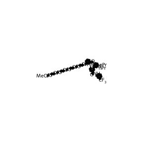 CCCN(CCC)c1ccc(NC(=O)c2cccc(COCCOCCOCCOCCOCCOCCOCCOCCOC)c2)c(-c2cc(C(=O)NCc3cccc(C(F)(F)F)c3)ccn2)c1